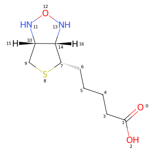 O=C(O)CCCC[C@@H]1SC[C@@H]2NON[C@@H]21